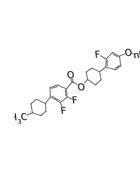 CCCCOc1ccc(C2CCC(OC(=O)c3ccc(C4CCC(C)CC4)c(F)c3F)CC2)c(F)c1